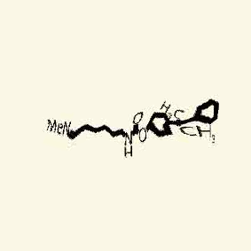 CNCCCCCCNC(=O)Oc1ccc(C(C)(C)c2ccccc2)cc1